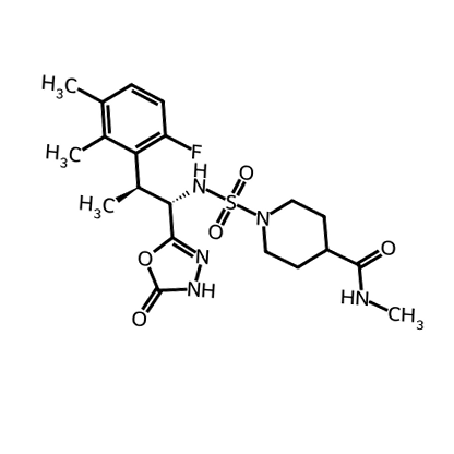 CNC(=O)C1CCN(S(=O)(=O)N[C@H](c2n[nH]c(=O)o2)[C@@H](C)c2c(F)ccc(C)c2C)CC1